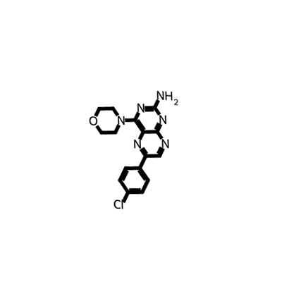 Nc1nc(N2CCOCC2)c2nc(-c3ccc(Cl)cc3)cnc2n1